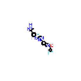 Cc1[nH]ncc1-c1ccc(Nc2nc(-c3ccc4cn(C(=O)C5CC(F)(F)C5)cc4c3)ncc2F)cc1